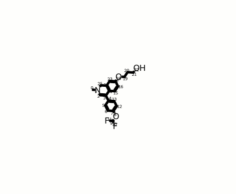 CN1C=C(c2ccc(OC(F)F)cc2)c2ccc(OCCCO)cc2C1